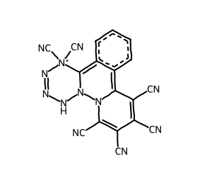 N#CC1=C(C#N)C2=c3ccccc3=C3N(NN=N[N+]3(C#N)C#N)N2C(C#N)=C1C#N